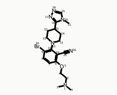 CN(C)CCOc1ccc(Br)c(N2CCC(c3nncn3C)CC2)c1C#N